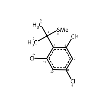 CSC(C)(C)c1c(Cl)cc(Cl)cc1Cl